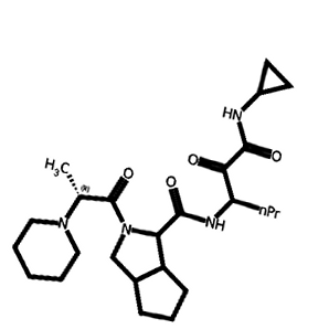 CCCC(NC(=O)C1C2CCCC2CN1C(=O)[C@@H](C)N1CCCCC1)C(=O)C(=O)NC1CC1